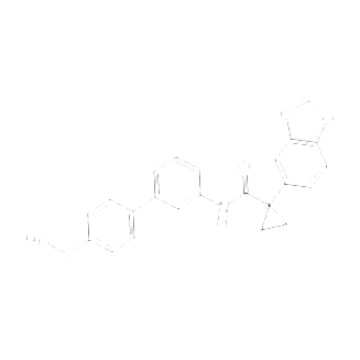 O=C(Nc1cccc(-c2ccc(SO)cc2)c1)C1(c2ccc3c(c2)OCO3)CC1